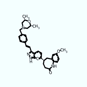 COc1ccc2c(c1)C[C@H](c1ccc3c(/C=C/c4ccc(CN5C[C@@H](C)O[C@@H](C)C5)cc4)n[nH]c3c1)CCC(=O)N2